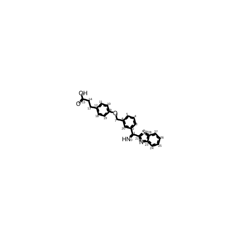 N=C(c1cccc(COc2ccc(CCC(=O)O)cc2)c1)c1nc2ccccc2s1